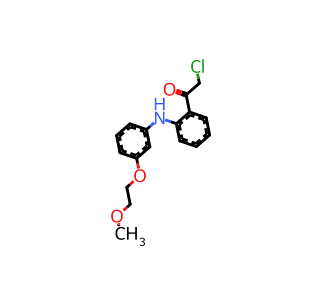 COCCOc1cccc(Nc2ccccc2C(=O)CCl)c1